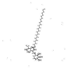 CCCCCCCCCCCCCCCCCCCCCCCCOC(=O)NC(COC1CC=CC(O)C(O)C1O)C(O)CC(O)CC